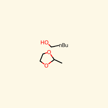 CC1OCCO1.CCCCCO